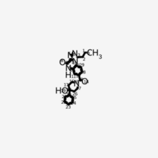 CCCc1nnc2c(=O)[nH]c3cc(C(=O)N4CCC(O)(c5ccccc5)CC4)ccc3n12